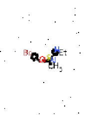 CCc1cc(-c2nc(C)c(COCc3ccc(Br)cc3)s2)ccn1